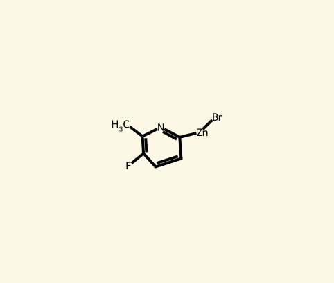 Cc1n[c]([Zn][Br])ccc1F